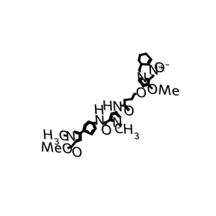 COC(=O)c1cc(-c2ccc(NC(=O)c3cc(NC(=O)CCCOc4cn5c(c4OC)C=[N+]([O-])C4=CCCCC4C5)cn3C)cc2)cn1C